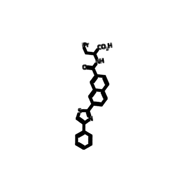 CC(C)CC(NC(=O)c1ccc2ccc(-c3nc(-c4ccccc4)cs3)cc2c1)C(=O)O